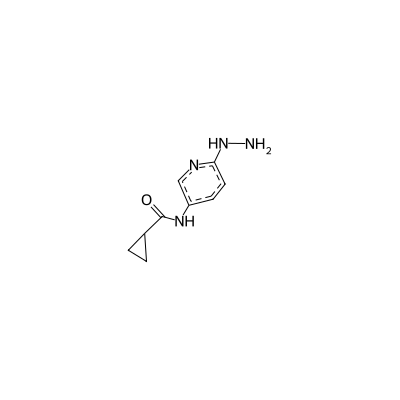 NNc1ccc(NC(=O)C2CC2)cn1